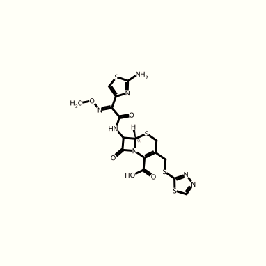 CON=C(C(=O)NC1C(=O)N2C(C(=O)O)=C(CSc3nncs3)CS[C@@H]12)c1csc(N)n1